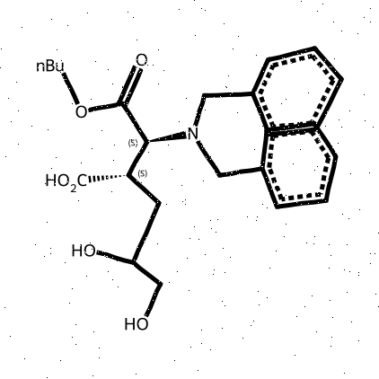 CCCCOC(=O)[C@H]([C@H](CC(O)CO)C(=O)O)N(Cc1ccccc1)Cc1ccccc1